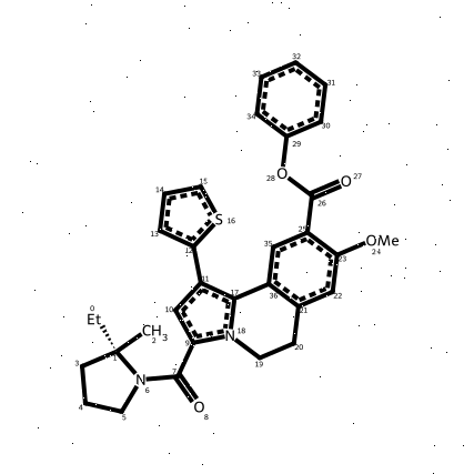 CC[C@@]1(C)CCCN1C(=O)c1cc(-c2cccs2)c2n1CCc1cc(OC)c(C(=O)Oc3ccccc3)cc1-2